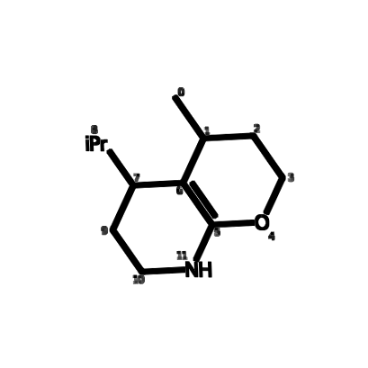 CC1CCOC2=C1C(C(C)C)CCN2